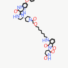 NC(=O)c1c(-c2ccc(Oc3ccccc3)cc2)nn2c1NCC[C@H]2C1CCN(C(=O)COCCCCCCCCNc2cccc3c2C(=O)N(C2CCC(=O)NC2=O)C3=O)CC1